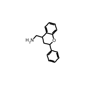 NCC1CC(c2ccccc2)Oc2ccccc21